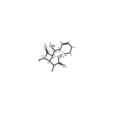 CC1C(=O)[S+]([O-])[C@@]2([C@@H](O)[C@@H]3C=CCCC3)C(=O)N(C)C12